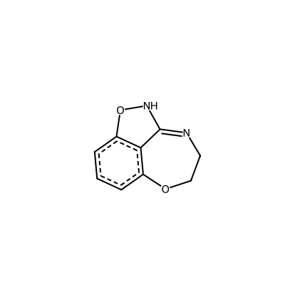 c1cc2c3c(c1)ONC3=NCCO2